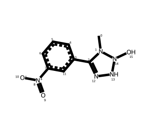 CN1C(c2cccc([N+](=O)[O-])c2)=NNN1O